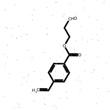 C=Cc1ccc(C(=O)OCCC=O)cc1